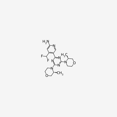 C[C@H]1COCCN1c1nc(-c2cnc(N)cc2C(F)F)nc(N2CCOC[C@@H]2C)n1